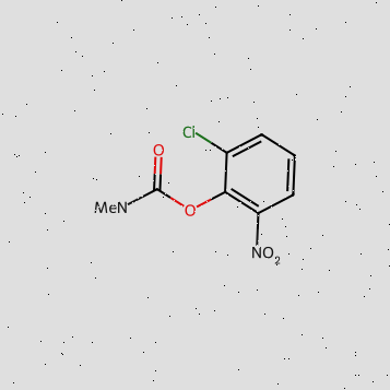 CNC(=O)Oc1c(Cl)cccc1[N+](=O)[O-]